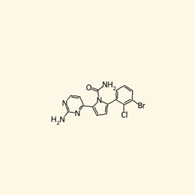 NC(=O)n1c(-c2ccnc(N)n2)ccc1-c1cccc(Br)c1Cl